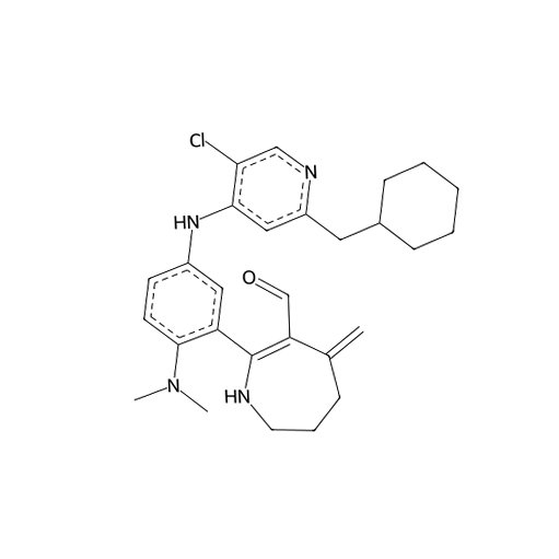 C=C1CCCNC(c2cc(Nc3cc(CC4CCCCC4)ncc3Cl)ccc2N(C)C)=C1C=O